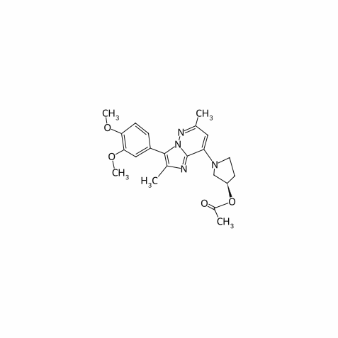 COc1ccc(-c2c(C)nc3c(N4CC[C@@H](OC(C)=O)C4)cc(C)nn23)cc1OC